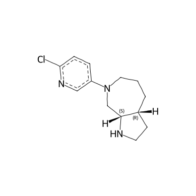 Clc1ccc(N2CCC[C@@H]3CCN[C@@H]3C2)cn1